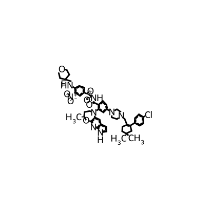 C[C@H]1CCN(c2cc(N3CCN(CC4=C(c5ccc(Cl)cc5)CC(C)(C)CC4)CC3)ccc2C(=O)NS(=O)(=O)c2ccc(NCC3(F)CCOCC3)c([N+](=O)[O-])c2)c2cc3cc[nH]c3nc2O1